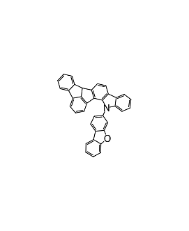 c1ccc2c(c1)-c1cccc3c1C2c1ccc2c4ccccc4n(-c4ccc5c(c4)oc4ccccc45)c2c1-3